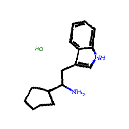 Cl.NC(Cc1c[nH]c2ccccc12)C1CCCC1